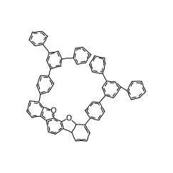 C1=CC2c3ccc4c(oc5c(-c6ccc(-c7cc(-c8ccccc8)cc(-c8ccccc8)c7)cc6)cccc54)c3OC2C(c2ccc(-c3cc(-c4ccccc4)cc(-c4ccccc4)c3)cc2)=C1